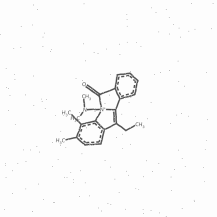 CCC1=C2c3ccccc3C(=O)[N+]2(N(C)C)c2c1ccc(C)c2C